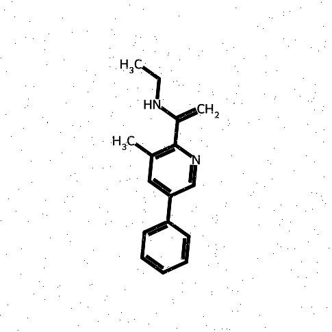 C=C(NCC)c1ncc(-c2ccccc2)cc1C